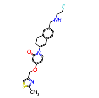 Cc1nc(COc2ccn(C3=Cc4ccc(CNCCF)cc4CC3)c(=O)c2)cs1